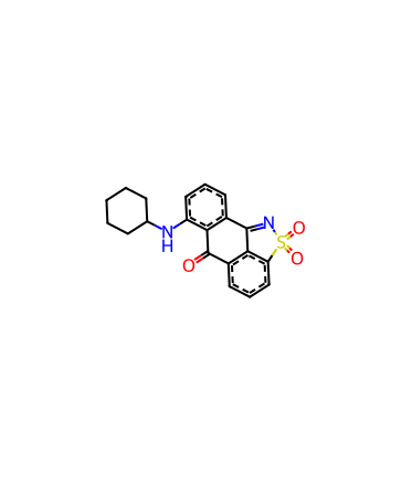 O=C1c2cccc3c2C(=NS3(=O)=O)c2cccc(NC3CCCCC3)c21